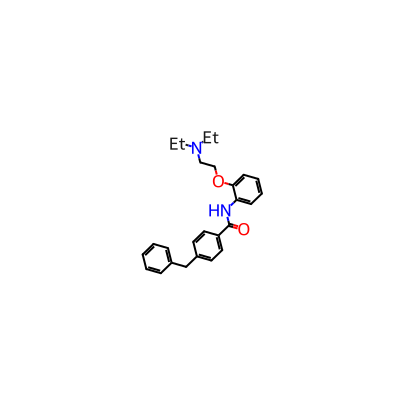 CCN(CC)CCOc1ccccc1NC(=O)c1ccc(Cc2ccccc2)cc1